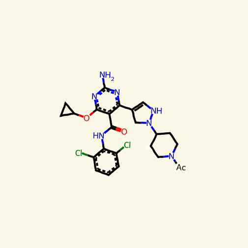 CC(=O)N1CCC(N2CC(c3nc(N)nc(OC4CC4)c3C(=O)Nc3c(Cl)cccc3Cl)=CN2)CC1